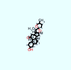 CC1CC[C@@]2(OC1)O[C@H]1C[C@H]3[C@@H]4CCC5C[C@@H](O)CC[C@]5(C)[C@H]4C(=O)C[C@]3(C)[C@H]1[C@@H]2C